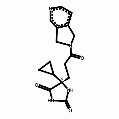 O=C1NC(=O)[C@](CCC(=O)N2Cc3ccncc3C2)(C2CC2)N1